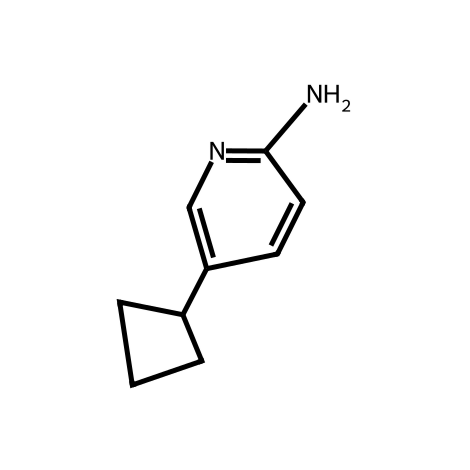 Nc1ccc(C2CCC2)cn1